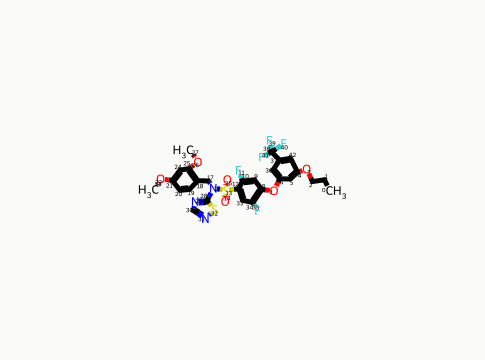 CCCOc1cc(Oc2cc(F)c(S(=O)(=O)N(Cc3ccc(OC)cc3OC)c3ncns3)cc2F)cc(C(F)(F)F)c1